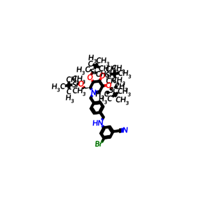 CC(C)(C)[Si](C)(C)OC[C@@H]1C(O[Si](C)(C)C(C)(C)C)C(O[Si](C)(C)C(C)(C)C)C(O[Si](C)(C)C(C)(C)C)CN1Cc1ccc(CNc2cc(Br)cc(C#N)c2)cc1